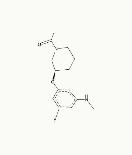 CNc1cc(F)cc(O[C@@H]2CCCN(C(C)=O)C2)c1